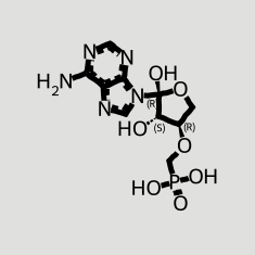 Nc1ncnc2c1ncn2[C@]1(O)OC[C@@H](OCP(=O)(O)O)[C@@H]1O